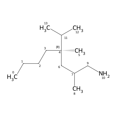 CCCC[C@](C)(CC(C)CN)C(C)C